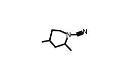 CC1CCN(C#N)C(C)C1